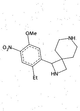 CCc1cc([N+](=O)[O-])c(OC)cc1C1NCC12CCNCC2